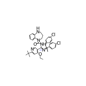 CCOc1cc(C(C)(C)C)ncc1/C(=N/[C@](C)(Cc1ccc(Cl)cc1)c1ccc(Cl)cc1)NC(=O)N1CCCNc2ccccc21